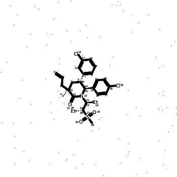 C=CC[C@@]1(C)C[C@H](c2cccc(Cl)c2)[C@@H](c2ccc(Cl)cc2)N([C@@H](CC)[C@@H](CC)S(C)(=O)=O)C1=O